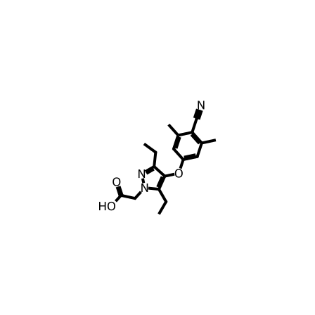 CCc1nn(CC(=O)O)c(CC)c1Oc1cc(C)c(C#N)c(C)c1